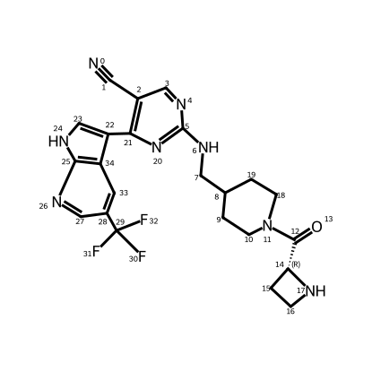 N#Cc1cnc(NCC2CCN(C(=O)[C@H]3CCN3)CC2)nc1-c1c[nH]c2ncc(C(F)(F)F)cc12